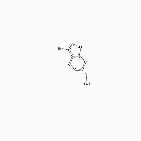 OCc1ccc2c(Br)coc2c1